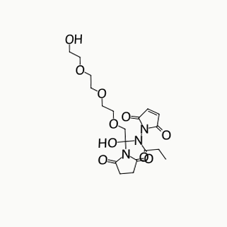 CCC(=O)N(N1C(=O)C=CC1=O)C(O)(COCCOCCOCCO)N1C(=O)CCC1=O